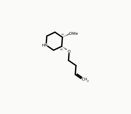 C=CCCO[C@@H]1CNCC[C@@H]1OC